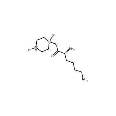 NCCCC[C@H](N)C(=O)O[N+]1([O-])CC[NH+]([O-])CC1